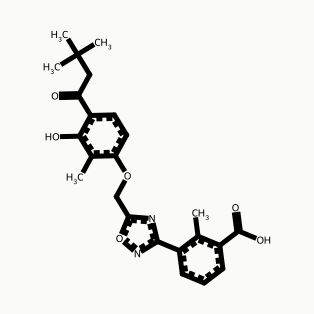 Cc1c(C(=O)O)cccc1-c1noc(COc2ccc(C(=O)CC(C)(C)C)c(O)c2C)n1